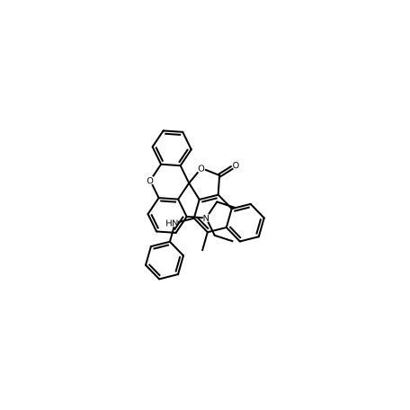 CCN(CC)c1cccc2c1C1(OC(=O)c3c1c(Nc1ccccc1)c(C)c1ccccc31)c1ccccc1O2